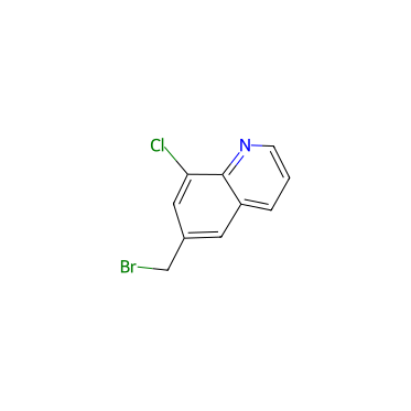 Clc1cc(CBr)cc2cccnc12